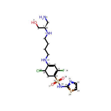 NC[C@H](CO)NCCCCNC1=CC(F)=C(S(=O)(=O)Nc2nccs2)CC1Cl